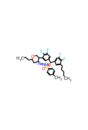 CCCCCc1cc(Cc2cc(F)c(F)c(C3COC(CCC)C/C3=N/NS(=O)(=O)c3ccc(C)cc3)c2)cc(F)c1F